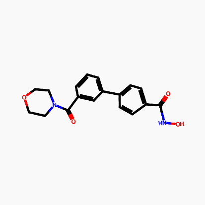 O=C(NO)c1ccc(-c2cccc(C(=O)N3CCOCC3)c2)cc1